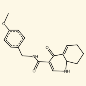 COc1ccc(CNC(=O)C2=CNC3CCCC=C3C2=O)cc1